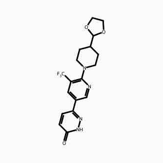 O=c1ccc(-c2cnc(N3CCC(C4OCCO4)CC3)c(C(F)(F)F)c2)n[nH]1